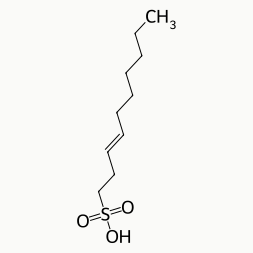 CCCCCC/C=C/CCS(=O)(=O)O